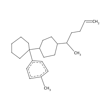 C=CCCC(C)C1CCC(C2(c3ccc(C)cc3)CCCCC2)CC1